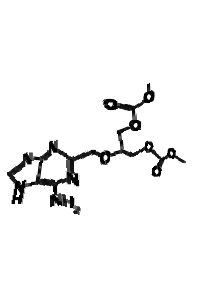 COC(=O)OCC(COC(=O)OC)OCc1nc(N)c2[nH]cnc2n1